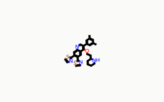 Cc1cc(C)cc(-c2cnc3cc(-c4nccs4)c(-c4nccs4)cc3c2OCCC2CCCCN2)c1